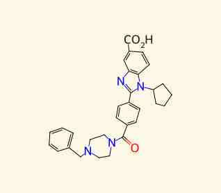 O=C(O)c1ccc2c(c1)nc(-c1ccc(C(=O)N3CCN(Cc4ccccc4)CC3)cc1)n2C1CCCC1